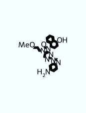 COCCCn1c(=O)n(C2CCC(O)c3ccccc32)c2nc(-n3cnc4ccc(N)cc43)ncc21